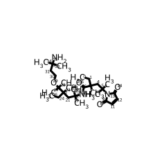 CCC(C)(CC(C)(C)N1C(=O)C=CC1=O)C(=O)NC(C)(C)CC(C)(CC)C(C)(C)OCCC(C)(C)N